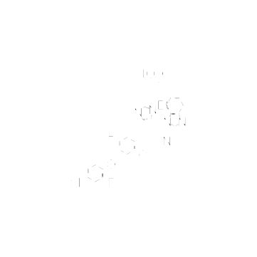 CCn1cncc1Cn1c(CN2CCC(Oc3ccc(F)c(COc4ccc(Cl)cc4F)c3)CC2)nc2ccc(CCC(=O)O)cc21